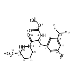 CC(C)(C)OC(=O)NC(Cc1cc(Br)cc(C(F)F)c1)C(=O)N1CCC[C@@H](C(=O)O)N1